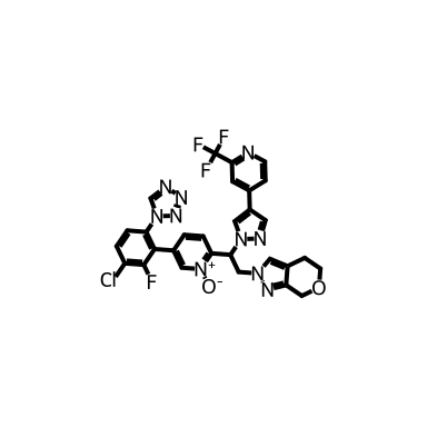 [O-][n+]1cc(-c2c(-n3cnnn3)ccc(Cl)c2F)ccc1C(Cn1cc2c(n1)COCC2)n1cc(-c2ccnc(C(F)(F)F)c2)cn1